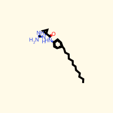 CCCCCCCCCCCCc1ccc(NC(=O)C2(NC(=N)N)CC2)cc1